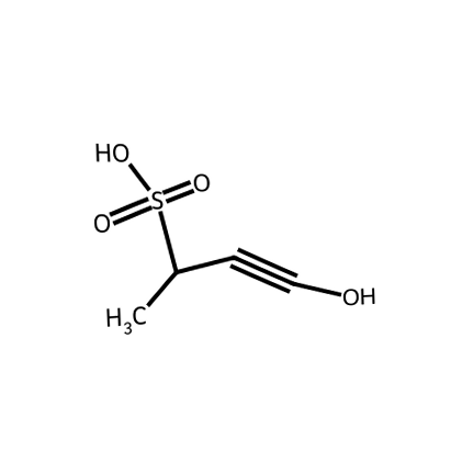 CC(C#CO)S(=O)(=O)O